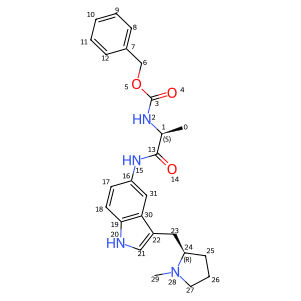 C[C@H](NC(=O)OCc1ccccc1)C(=O)Nc1ccc2[nH]cc(C[C@H]3CCCN3C)c2c1